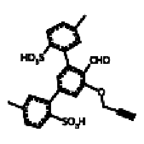 C#CCOc1cc(-c2cc(C)ccc2S(=O)(=O)O)cc(-c2cc(C)ccc2S(=O)(=O)O)c1C=O